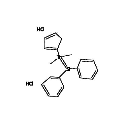 Cl.Cl.[CH3][Ti]([CH3])([C]1=CC=CC1)=[Si](c1ccccc1)c1ccccc1